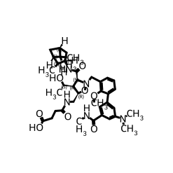 CNC(=O)c1cc(-c2cccc(CN3O[C@@H](CNC(=O)CCC(=O)O)[C@@H]([C@H](C)O)[C@H]3C(=O)N[C@H]3C[C@H]4C[C@@H]([C@@H]3C)C4(C)C)c2OC)cc(N(C)C)c1